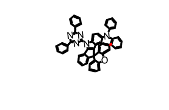 c1ccc(-c2nc(-c3ccccc3)nc(-n3c4c(c5cc(N(c6ccccc6)c6ccccc6)ccc53)C3(c5ccccc5Oc5ccccc53)c3ccccc3-4)n2)cc1